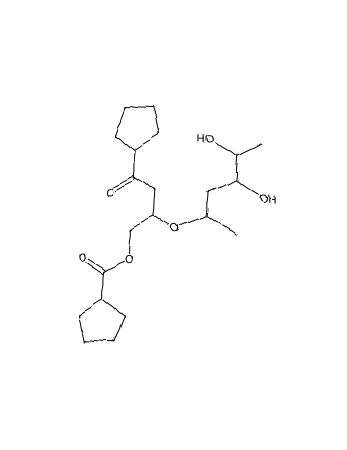 CC(CC(O)C(C)O)OC(COC(=O)C1CCCC1)CC(=O)C1CCCC1